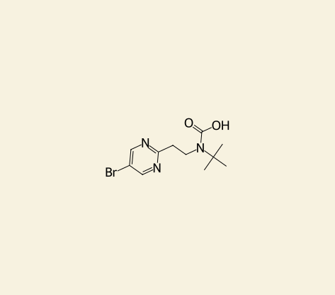 CC(C)(C)N(CCc1ncc(Br)cn1)C(=O)O